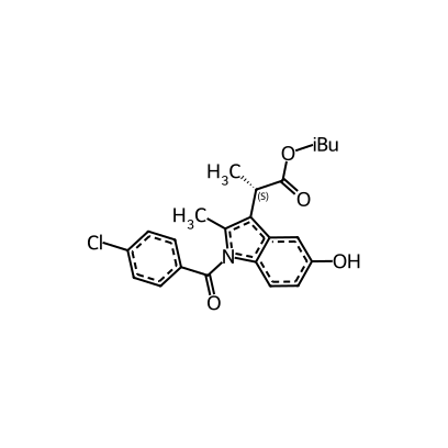 CCC(C)OC(=O)[C@@H](C)c1c(C)n(C(=O)c2ccc(Cl)cc2)c2ccc(O)cc12